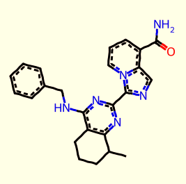 CC1CCCc2c(NCc3ccccc3)nc(-c3ncc4c(C(N)=O)cccn34)nc21